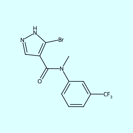 CN(C(=O)c1cn[nH]c1Br)c1cccc(C(F)(F)F)c1